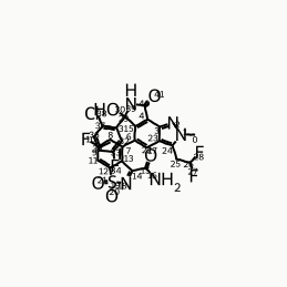 Cn1nc2c3c(c(-c4cc(F)cc5c4C(C(N)=O)=NS5(=O)=O)cc2c1CC(F)F)C(O)(c1cc(F)ccc1Cl)NC3=O